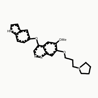 COc1cc2c(Oc3ccc4[nH]ccc4c3)cnnc2cc1OCCCN1CCCC1